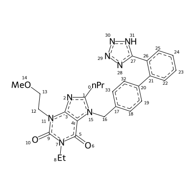 CCCc1nc2c(c(=O)n(CC)c(=O)n2CCOC)n1Cc1ccc(-c2ccccc2-c2nnn[nH]2)cc1